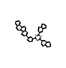 c1cc(-c2ccc3c(ccc4c5ccccc5ccc34)c2)cc(-c2nc(-c3ccc4ccccc4c3)nc(-c3ccc4ccccc4c3)n2)c1